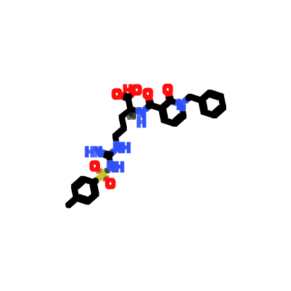 Cc1ccc(S(=O)(=O)NC(=N)NCCC[C@H](NC(=O)c2cccn(Cc3ccccc3)c2=O)C(=O)O)cc1